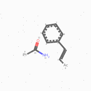 CC(=O)C=Cc1ccccc1.CC(C)C(N)=O